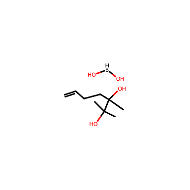 C=CCCC(C)(O)C(C)(C)O.OBO